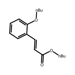 CCCCOC(=O)C=Cc1ccccc1OCCCC